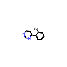 CCCCc1ccccc1-c1ccncn1